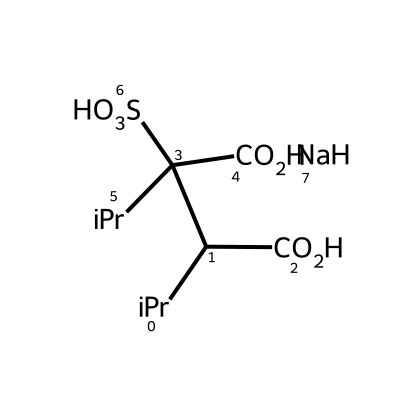 CC(C)C(C(=O)O)C(C(=O)O)(C(C)C)S(=O)(=O)O.[NaH]